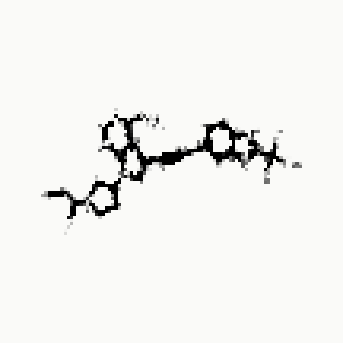 C=CC(=O)N1CCC(n2cc(C#Cc3ccc4oc(C(F)(F)F)nc4c3)c3c(N)ncnc32)C1